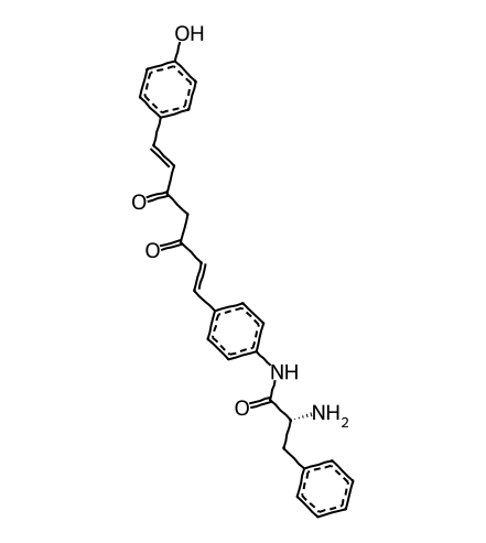 N[C@H](Cc1ccccc1)C(=O)Nc1ccc(C=CC(=O)CC(=O)C=Cc2ccc(O)cc2)cc1